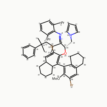 CCCc1cccc(CCC)c1/N=C(\C(CC)CC(C)(C)c1ccccc1)[C@H](Cn1cccc1)OC1=C(c2c3c(cc(Br)c2OC)CCCC3)C2CCCCC2C=C1Br